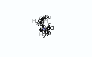 CC(NC(=O)OC(C)(C)C)C(=O)OCO/C(=C1/C(=O)N(C(N)=O)c2cc(Cl)c(F)cc21)c1cccs1